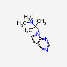 CN(C)C(C)(C)Cn1ccc2cncnc21